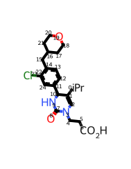 CC(C)C1=CN(CCC(=O)O)C(=O)NC1c1ccc(CC2CCOCC2)c(Cl)c1